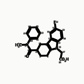 CN(C(=O)C1CCc2c(c3cc(F)ccc3n2CC(=O)O)C1)c1ccccc1